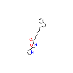 O=C(CCCCCCc1cccc2ccccc12)c1ncc(-c2ccccn2)o1